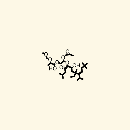 CCC(C)(CC(O)C(CCC(C)C)OC(OC1OC1C)[C@H](O)OC(O)C(C)OCOC)/C(=C\CC(C)(C)C)C(C)C